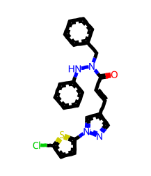 O=C(/C=C/c1cnn(-c2ccc(Cl)s2)c1)N(Cc1ccccc1)Nc1ccccc1